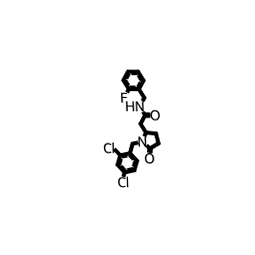 O=C(CC1CCC(=O)N1Cc1ccc(Cl)cc1Cl)NCc1ccccc1F